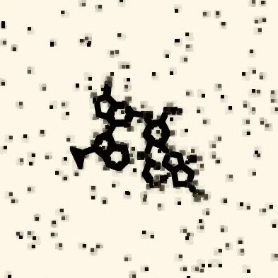 C=CC(=O)Nc1cc(Nc2nc3c(c(-c4cn(C5CC5)c5ccccc45)n2)COC3=O)c(OC)cc1N1C[C@H]2CN(C)C[C@H]2C1